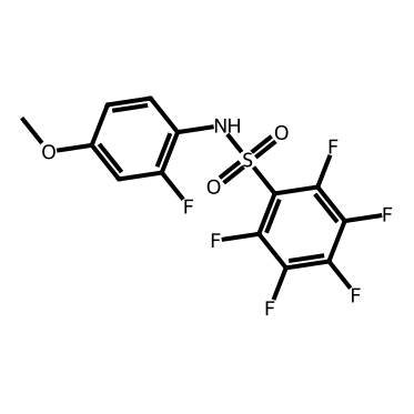 COc1ccc(NS(=O)(=O)c2c(F)c(F)c(F)c(F)c2F)c(F)c1